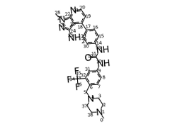 CN1CCN(Cc2ccc(NC(=O)Nc3ccc(-c4ccnc5c4c(N)nn5C)cc3)cc2C(F)(F)F)CC1